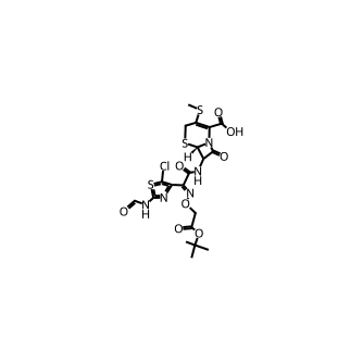 CSC1=C(C(=O)O)N2C(=O)C(NC(=O)C(=NOCC(=O)OC(C)(C)C)c3nc(NC=O)sc3Cl)[C@@H]2SC1